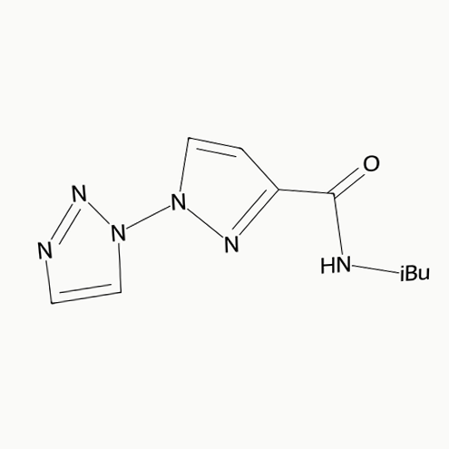 CCC(C)NC(=O)c1ccn(-n2ccnn2)n1